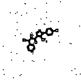 CCC(NC(=O)c1cnn(-c2ccc(Cl)cc2)c1C(F)(F)F)c1ccncc1